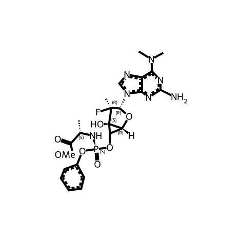 COC(=O)[C@H](C)N[P@@](=O)(Oc1ccccc1)OC1[C@H]2O[C@@H](n3cnc4c(N(C)C)nc(N)nc43)[C@](C)(F)[C@@]12O